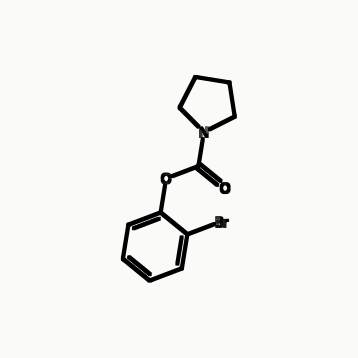 O=C(Oc1ccccc1Br)N1CCCC1